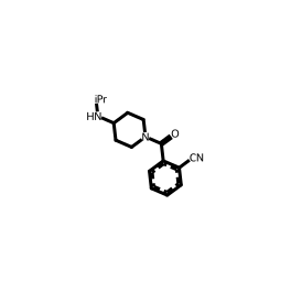 CC(C)NC1CCN(C(=O)c2ccccc2C#N)CC1